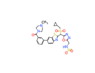 CN1CCN(C(=O)c2cccc(-c3ccc4nc(C(c5nnc(CN[SH](=O)=O)o5)S(=O)(=O)CC5CC5)sc4c3)c2)CC1